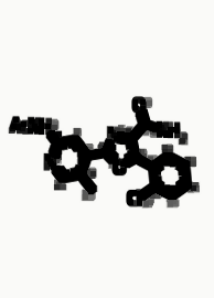 CC(=O)Nc1cc(-c2nc(C(N)=O)c(-c3ccccc3Cl)o2)c(C)cn1